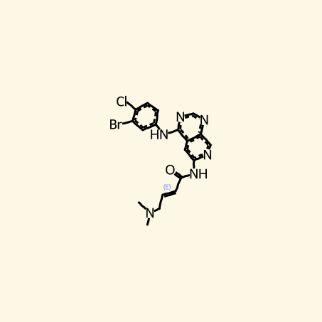 CN(C)C/C=C/C(=O)Nc1cc2c(Nc3ccc(Cl)c(Br)c3)ncnc2cn1